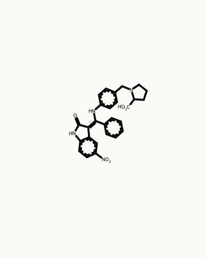 O=C1Nc2ccc([N+](=O)[O-])cc2/C1=C(/Nc1ccc(CN2CCCC2C(=O)O)cc1)c1ccccc1